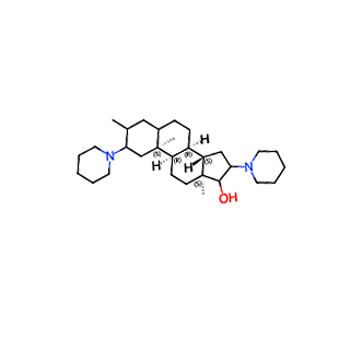 CC1CC2CC[C@@H]3[C@@H](CC[C@]4(C)C(O)C(N5CCCCC5)C[C@@H]34)[C@@]2(C)CC1N1CCCCC1